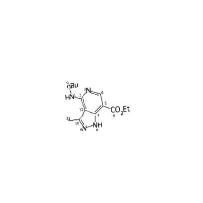 CCCCNc1ncc(C(=O)OCC)c2[nH]nc(C)c12